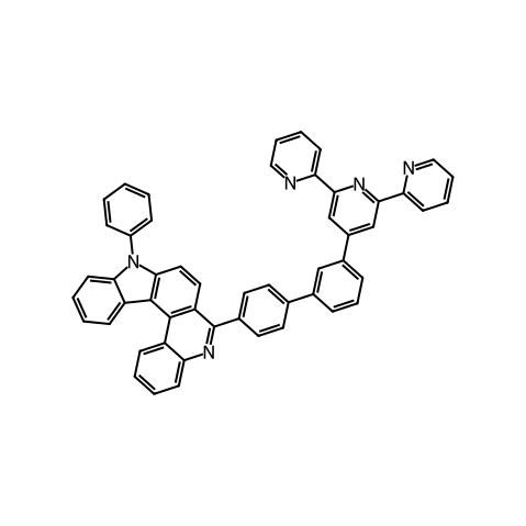 c1ccc(-n2c3ccccc3c3c4c(ccc32)c(-c2ccc(-c3cccc(-c5cc(-c6ccccn6)nc(-c6ccccn6)c5)c3)cc2)nc2ccccc24)cc1